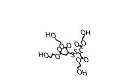 O=C(CC(SSC(CC(=O)OCCO)C(=O)OCCO)C(=O)OCCO)OCCO